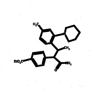 CCOC(=O)c1ccc(C(C(N)=O)C(C)c2ccc(C)cc2N2CCCCC2)cc1